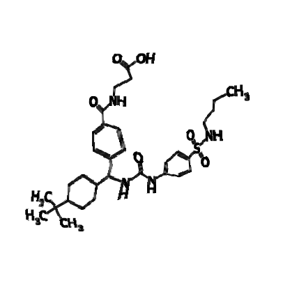 CCCCNS(=O)(=O)c1ccc(NC(=O)NC(c2ccc(C(=O)NCCC(=O)O)cc2)C2CCC(C(C)(C)C)CC2)cc1